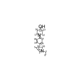 CCN1CC2CC2(C2=CCC(N3CCC(O)CC3)C=C2)C1